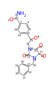 NC(=O)c1ccc(C(=O)CN2C(=O)C(=O)N(Cc3ccccc3)C2=O)cc1